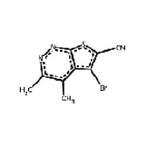 Cc1nnc2sc(C#N)c(Br)c2c1C